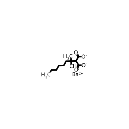 CCCCCCC(C)(C)C(C(=O)[O-])C(=O)[O-].[Ba+2]